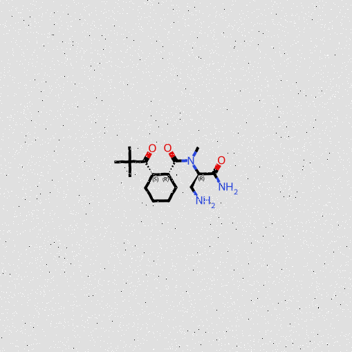 CN(C(=O)[C@@H]1CCCC[C@@H]1C(=O)C(C)(C)C)[C@H](CN)C(N)=O